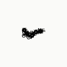 Cc1cc(C)c(C(=O)N2CCN(c3ccccn3)[C@H](CO)C2)c(C)c1NC1CCN(c2ccc(F)cn2)CC1